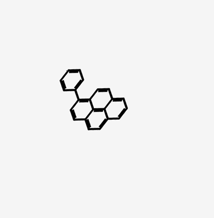 [c]1ccc(-c2ccc3ccc4cccc5ccc2c3c45)cc1